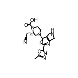 Cc1nnc(-c2nc3c(c(N4CCN(C(=O)O)[C@@H](CC#N)C4)n2)CNC3)o1